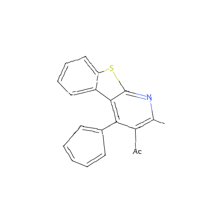 CC(=O)c1c(C)nc2sc3ccccc3c2c1-c1ccccc1